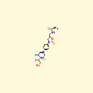 CC(=O)NCC1CN(c2ccc(N3CC(F)N(C(=O)CO)[C@@H](F)C3)cc2)C(=O)O1